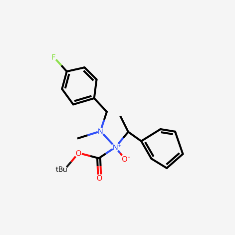 CC(c1ccccc1)[N+]([O-])(C(=O)OC(C)(C)C)N(C)Cc1ccc(F)cc1